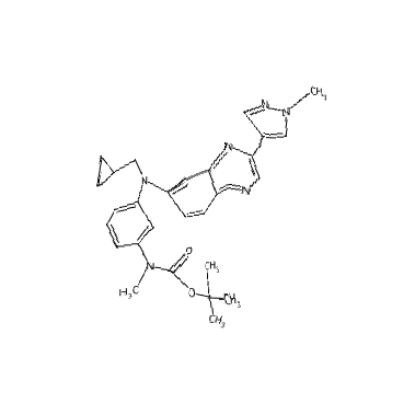 CN(C(=O)OC(C)(C)C)c1cccc(N(CC2CC2)c2ccc3ncc(-c4cnn(C)c4)nc3c2)c1